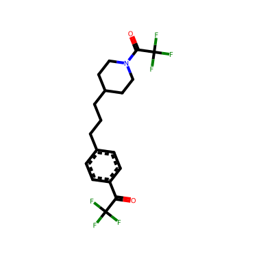 O=C(c1ccc(CCCC2CCN(C(=O)C(F)(F)F)CC2)cc1)C(F)(F)F